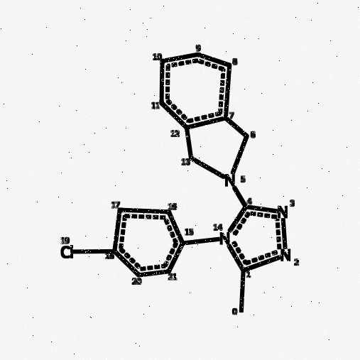 Cc1nnc(N2Cc3ccccc3C2)n1-c1ccc(Cl)cc1